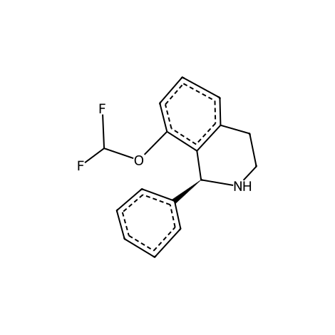 FC(F)Oc1cccc2c1[C@H](c1ccccc1)NCC2